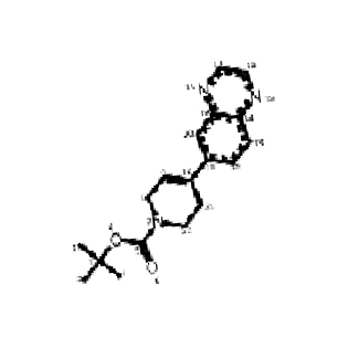 CC(C)(C)OC(=O)N1CC=C(c2ccc3nccnc3c2)CC1